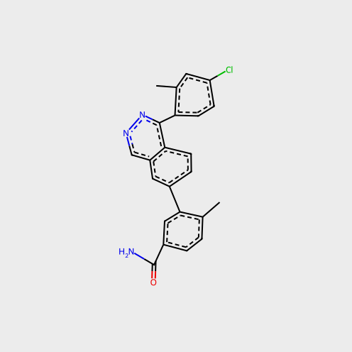 Cc1ccc(C(N)=O)cc1-c1ccc2c(-c3ccc(Cl)cc3C)nncc2c1